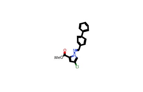 COC(=O)c1cc(Cl)cn1N=Cc1ccc(-c2ccccc2)cc1